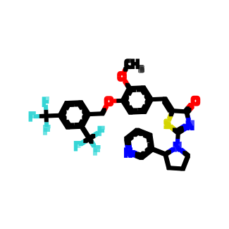 COc1cc(/C=C2\SC(N3CCCC3c3cccnc3)=NC2=O)ccc1OCc1ccc(C(F)(F)F)cc1C(F)(F)F